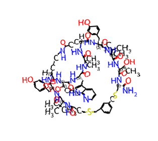 CC(C)[C@]1(C)NC(=O)[C@H](Cc2ccc(O)cc2)NC(=O)[C@@H]2CCC(=O)NCCCC[C@H](NC(=O)[C@H](Cc3ccc(O)cc3)NC(=O)[C@H](C(C)(C)C)NC(=O)CCSCc3cccc(c3)CSC[C@@H](C(N)=O)NC(=O)[C@H]([C@@H](C)O)NC1=O)C(=O)N[C@@H]([C@@H](C)O)C(=O)N[C@@H](Cc1c[nH]c3ncccc13)C(=O)NC(C)(C)C(=O)N2